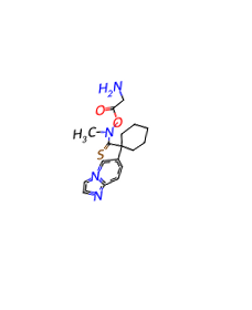 CN(OC(=O)CN)C(=S)C1(c2ccc3nccn3c2)CCCCC1